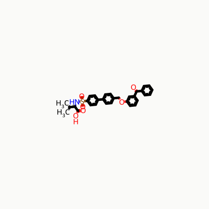 CC(C)[C@@H](NS(=O)(=O)c1ccc(-c2ccc(COc3cccc(C(=O)c4ccccc4)c3)cc2)cc1)C(=O)O